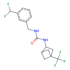 O=C(NCc1cccc(C(F)F)c1)NC1CC2(C(F)(F)F)CC1C2